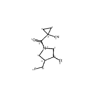 CCC1CN(C(=O)C2(C#N)CC2)CC1CF